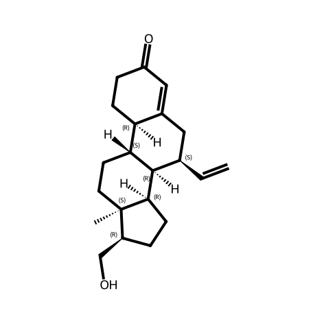 C=C[C@@H]1CC2=CC(=O)CC[C@@H]2[C@H]2CC[C@]3(C)[C@H](CO)CC[C@@H]3[C@@H]21